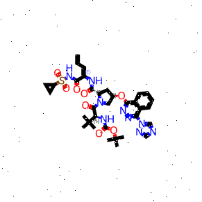 C=C/C=C(/NC(=O)[C@@H]1C[C@@H](Oc2nnc(-n3cncn3)c3ccccc23)CN1C(=O)[C@@H](NC(=O)OC(C)(C)C)C(C)(C)C)C(=O)NS(=O)(=O)C1CC1